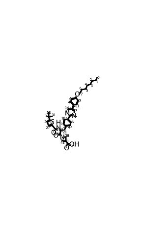 CCCCCCCCOc1ccc(-c2cnc(-c3ccc(C[C@H](NC(=O)c4ccc(C(C)(C)C)s4)C(=O)N4CC(C(=O)O)C4)cc3)nc2)cc1